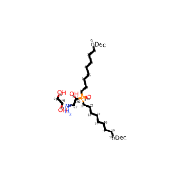 CCCCCCCCCCCCCCCCCCP(=O)(CCCCCCCCCCCCCCCCCC)C(O)CN.OCCO